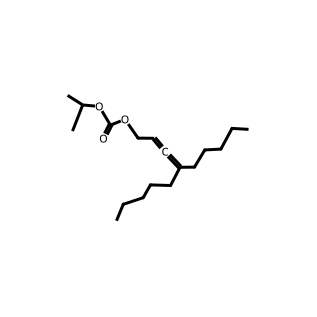 CCCCCC(=C=CCOC(=O)OC(C)C)CCCCC